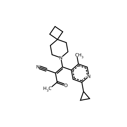 CC(=O)/C(C#N)=C(\c1cc(C2CC2)ncc1C)N1CCC2(CCC2)CC1